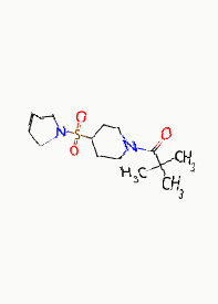 CC(C)(C)C(=O)N1CCC(S(=O)(=O)N2CCCC2)CC1